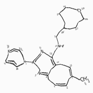 Cc1ccc2nc(-n3ccnc3)nc(NCC3CCOCC3)c2c1